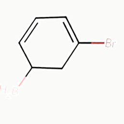 BC1C=CC=C(Br)C1